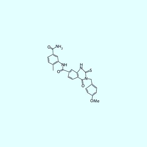 COc1ccc(Cn2c(=S)[nH]c3cc(C(=O)Nc4cc(C(N)=O)ccc4C)ccc3c2=O)cc1